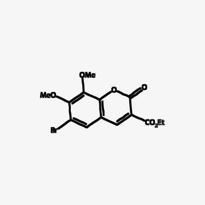 CCOC(=O)c1cc2cc(Br)c(OC)c(OC)c2oc1=O